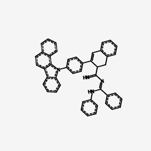 N=C(/N=C(\Nc1ccccc1)c1ccccc1)C1Cc2ccccc2C=C1c1ccc(-n2c3ccccc3c3ccc4ccccc4c32)cc1